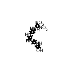 Cc1cc(O)c(C)c(C)c1Nc1cc(C)c(Nc2cc(C)c(Nc3cc(C)c(NNc4cc([N+](=O)[O-])cc([N+](=O)[O-])c4)c(C)c3C)c(C)c2C)c(C)c1C